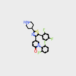 O=c1ccc(-c2nc(C3CCNCC3)sc2-c2ccc(F)cc2F)cn1-c1c(F)cccc1F